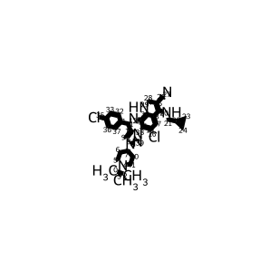 CC(C)(C)N1CCC(n2cc([C@@H](Nc3cc(Cl)cc4c(NCC5CC5)c(C#N)cnc34)c3ccc(Cl)cc3)nn2)CC1